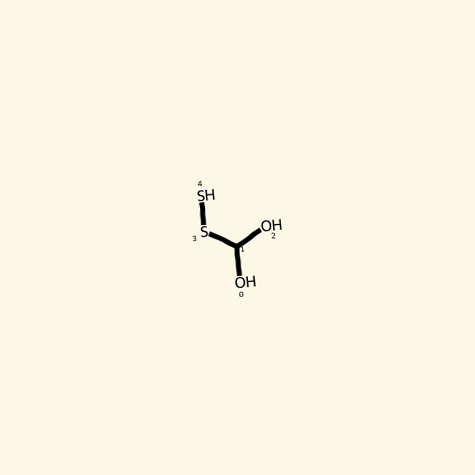 OC(O)SS